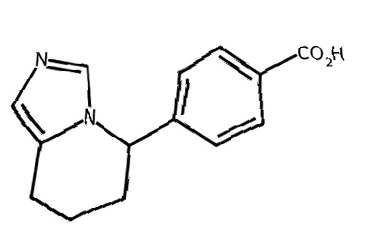 O=C(O)c1ccc(C2CCCc3cncn32)cc1